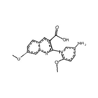 COc1ccc2cc(C(=O)O)c(-[n+]3cc(N)ccc3OC)nc2c1